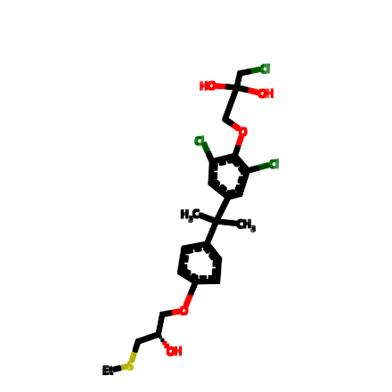 CCSC[C@@H](O)COc1ccc(C(C)(C)c2cc(Cl)c(OCC(O)(O)CCl)c(Cl)c2)cc1